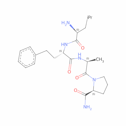 CC(C)C[C@H](N)C(=O)N[C@@H](CCc1ccccc1)C(=O)N[C@@H](C)C(=O)N1CCC[C@H]1C(N)=O